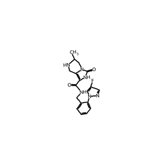 CC1Cn2c(c(C(=O)NCc3ccccc3-n3cc(F)cn3)[nH]c2=O)CN1